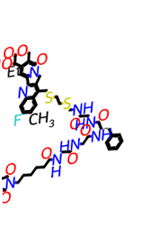 CCC1(O)C(=O)OCc2c1cc1n(c2=O)Cc2c-1nc1cc(F)c(C)cc1c2CSCCSCNC(=O)CNC(=O)[C@H](Cc1ccccc1)NC(=O)CNC(=O)CNC(=O)CCCCCN1C(=O)C=CC1=O